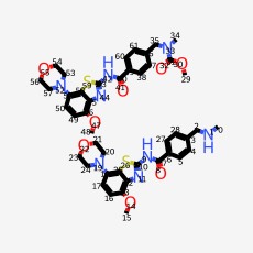 CNCc1ccc(C(=O)Nc2nc3c(OC)ccc(N4CCOCC4)c3s2)cc1.COC(=O)N(C)Cc1ccc(C(=O)Nc2nc3c(OC)ccc(N4CCOCC4)c3s2)cc1